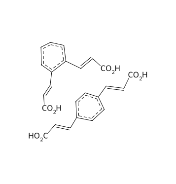 O=C(O)C=Cc1ccc(C=CC(=O)O)cc1.O=C(O)C=Cc1ccccc1C=CC(=O)O